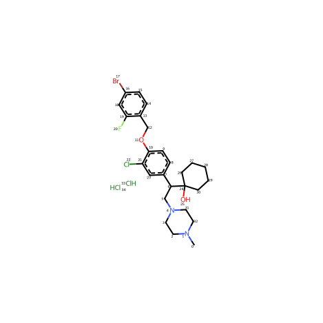 CN1CCN(CC(c2ccc(OCc3ccc(Br)cc3F)c(Cl)c2)C2(O)CCCCC2)CC1.Cl.Cl